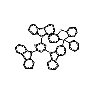 c1ccc([Si]2(c3ccc4c5ccccc5n(-c5nc(-n6c7ccccc7c7ccccc76)nc(-n6c7ccccc7c7ccccc76)n5)c4c3)c3ccccc3Sc3ccccc32)cc1